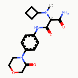 CCN(C1CCC1)[C@@H](C(N)=O)C(=O)Nc1ccc(N2CCOCC2=O)cc1